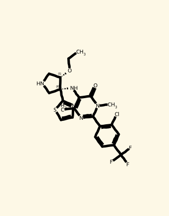 CCO[C@H]1CNC[C@]1(Nc1c(C)nc(-c2ccc(C(F)(F)F)cc2Cl)n(C)c1=O)c1nccs1